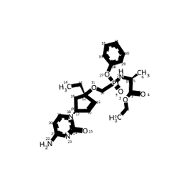 CCOC(=O)[C@H](C)NP(=O)(CO[C@]1(CC)C=C[C@H](n2ccc(N)nc2=O)C1)Oc1ccccc1